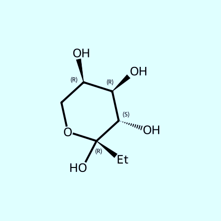 CC[C@@]1(O)OC[C@@H](O)[C@@H](O)[C@@H]1O